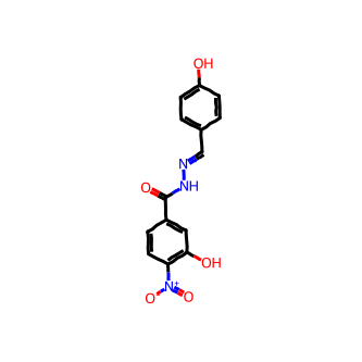 O=C(NN=Cc1ccc(O)cc1)c1ccc([N+](=O)[O-])c(O)c1